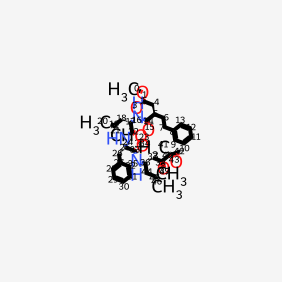 COC(=O)C[C@@H](CCc1ccccc1)C(=O)N[C@@H](CC(C)C)C(=O)N[C@@H](Cc1ccccc1)C(=O)N[C@H](CC(=O)[C@@]1(C)CO1)CC(C)C